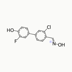 O/N=C/c1ccc(-c2ccc(O)c(F)c2)cc1Cl